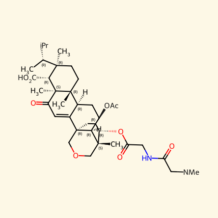 CNCC(=O)NCC(=O)O[C@H]1[C@H](OC(C)=O)C[C@@]23COC[C@]1(C)[C@@H]2CC[C@H]1C3=CC(=O)[C@@]2(C)[C@H](C(=O)O)[C@@](C)([C@H](C)C(C)C)CC[C@]12C